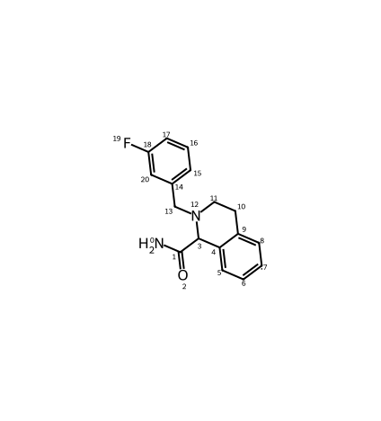 NC(=O)C1c2cc[c]cc2CCN1Cc1cccc(F)c1